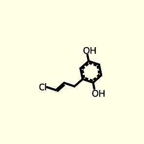 Oc1ccc(O)c(CC=CCl)c1